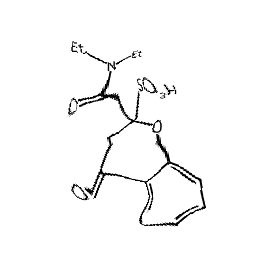 CCN(CC)C(=O)C1(S(=O)(=O)O)CC(=O)c2ccccc2O1